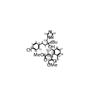 CC(C)(C)C(O)(CCc1ccc(Cl)cc1)Cn1cncn1.COCC(=O)N(c1c(C)cccc1C)[C@H](C)C(=O)OC